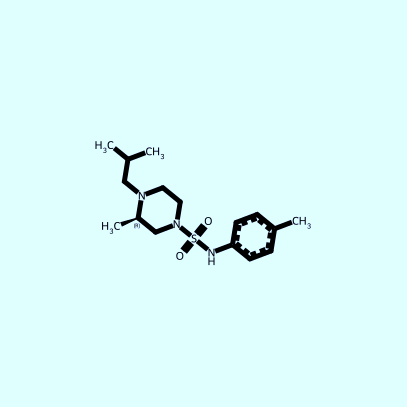 C[C](C)CN1CCN(S(=O)(=O)Nc2ccc(C)cc2)C[C@H]1C